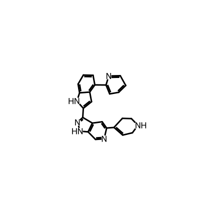 C1=C(c2cc3c(-c4cc5c(-c6ccccn6)cccc5[nH]4)n[nH]c3cn2)CCNC1